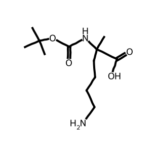 CC(C)(C)OC(=O)NC(C)(CCCCN)C(=O)O